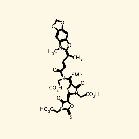 CS/C(=c1/s/c(=C2/OC(=S)N(CC(=O)O)C2=O)n(CC(=O)O)c1=O)N(CC(=O)O)C(=O)C=C/C(C)=C1/Oc2cc3c(cc2N1C)OCO3